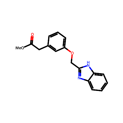 COC(=O)Cc1cccc(OCc2nc3ccccc3[nH]2)c1